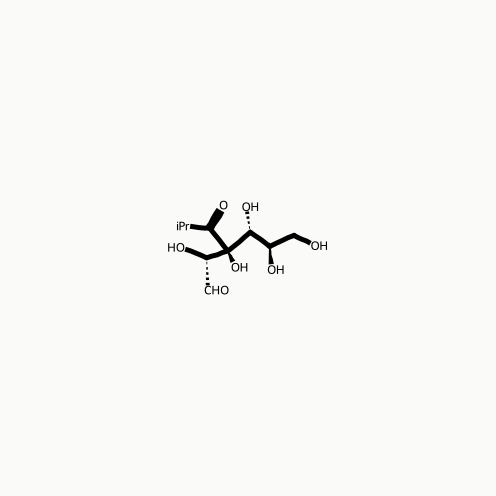 CC(C)C(=O)[C@](O)([C@H](O)[C@H](O)CO)[C@@H](O)C=O